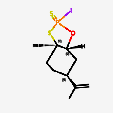 C=C(C)[C@H]1CC[C@@]2(C)SP(=S)(I)O[C@@H]2C1